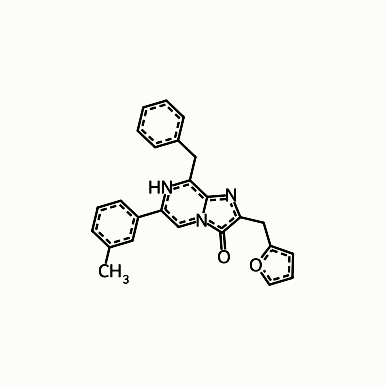 Cc1cccc(-c2cn3c(=O)c(Cc4ccco4)nc-3c(Cc3ccccc3)[nH]2)c1